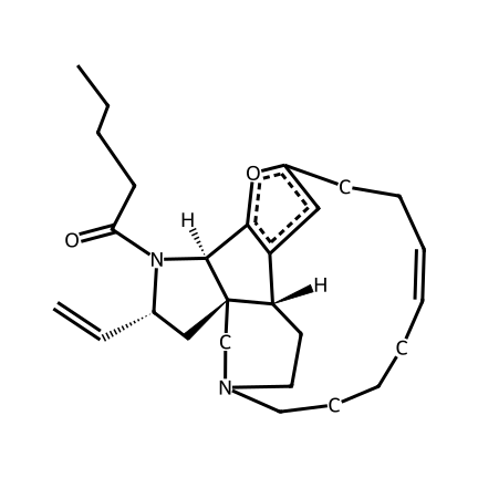 C=C[C@H]1C[C@@]23CN4CCCC/C=C\CCc5cc(c(o5)[C@@H]2N1C(=O)CCCC)[C@@H]3CC4